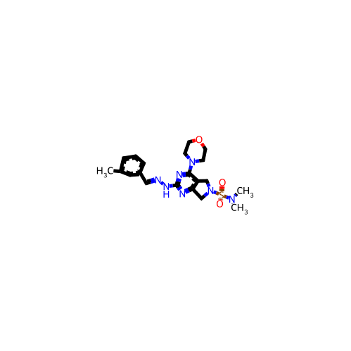 Cc1cccc(/C=N/Nc2nc3c(c(N4CCOCC4)n2)CN(S(=O)(=O)N(C)C)C3)c1